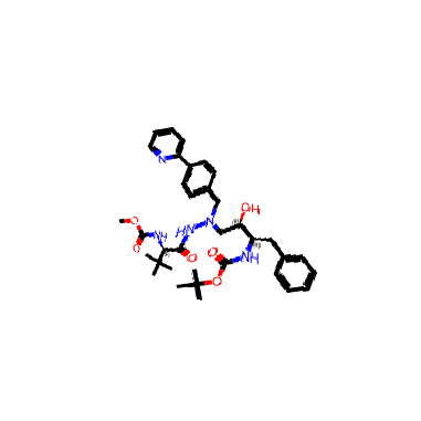 COC(=O)N[C@@H](C(=O)NN(Cc1ccc(-c2ccccn2)cc1)C[C@@H](O)[C@@H](Cc1ccccc1)NC(=O)OC(C)(C)C)C(C)(C)C